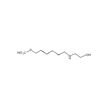 O=C(O)OCCCCCCNCCO